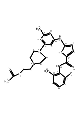 CC(=O)OCCN1CCN(c2cc(Nc3ncc(C(=O)Nc4c(C)cccc4Cl)s3)nc(C)n2)CC1